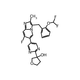 Cc1nc2cc(F)c(-c3cnc(C4(O)CCOC4)nc3)cn2c1Cc1ccccc1OC(F)F